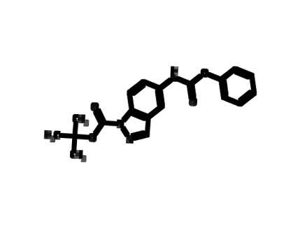 CC(C)(C)OC(=O)n1ncc2cc(NC(=O)Oc3ccccc3)ccc21